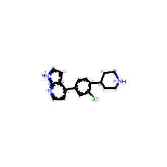 Clc1cc(-c2ccnc3[nH]ccc23)ccc1C1CCNCC1